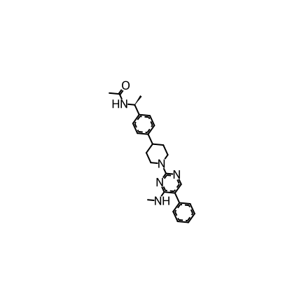 CNc1nc(N2CCC(c3ccc([C@H](C)NC(C)=O)cc3)CC2)ncc1-c1ccccc1